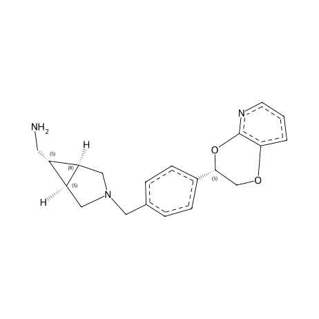 NC[C@@H]1[C@H]2CN(Cc3ccc([C@H]4COc5cccnc5O4)cc3)C[C@@H]12